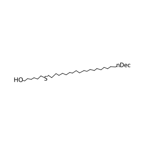 CCCCCCCCCCCCCCCCCCCCCCCCCCCCCCSCCCCCCO